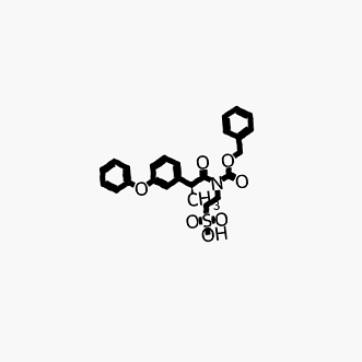 C[C@@H](C(=O)N(CCS(=O)(=O)O)C(=O)OCc1ccccc1)c1cccc(Oc2ccccc2)c1